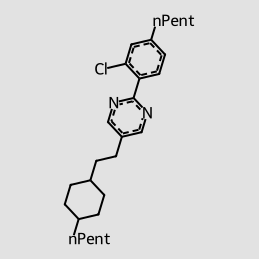 CCCCCc1ccc(-c2ncc(CCC3CCC(CCCCC)CC3)cn2)c(Cl)c1